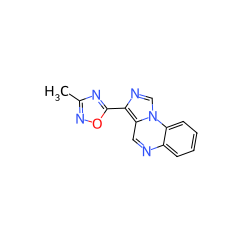 Cc1noc(-c2ncn3c2cnc2ccccc23)n1